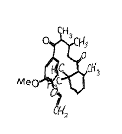 C=COc1ccc(C(=O)C(C)C(C)CC(=O)C2C(C)=CCCC2(C)C)cc1OC